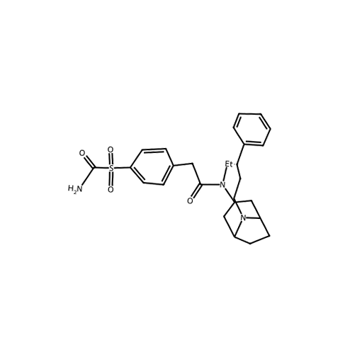 CCN(C(=O)Cc1ccc(S(=O)(=O)C(N)=O)cc1)C1CC2CCC(C1)N2CC[CH]c1ccccc1